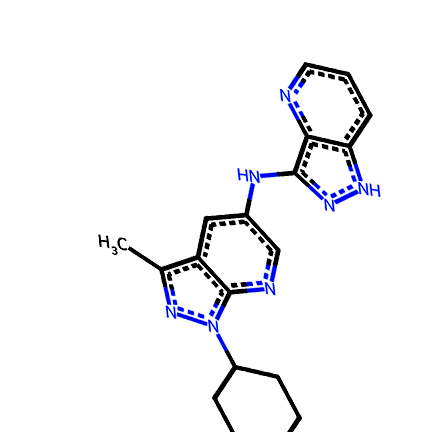 Cc1nn(C2CCCCC2)c2ncc(Nc3n[nH]c4cccnc34)cc12